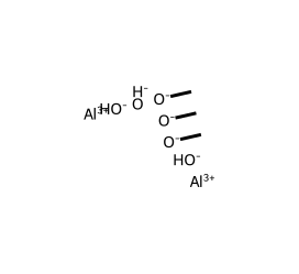 C[O-].C[O-].C[O-].[Al+3].[Al+3].[OH-].[OH-].[OH-]